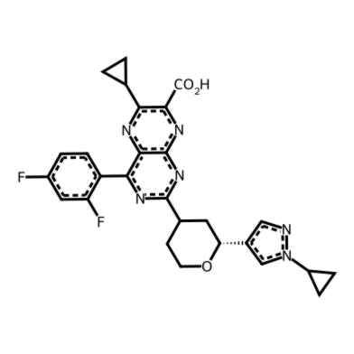 O=C(O)c1nc2nc(C3CCO[C@@H](c4cnn(C5CC5)c4)C3)nc(-c3ccc(F)cc3F)c2nc1C1CC1